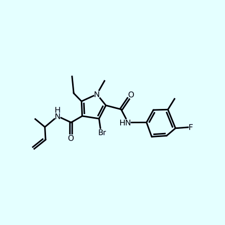 C=CC(C)NC(=O)c1c(Br)c(C(=O)Nc2ccc(F)c(C)c2)n(C)c1CC